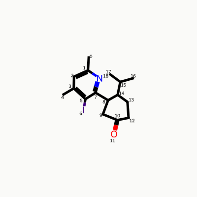 Cc1cc(C)c(I)c(C2CC(=O)CCC2C(C)C)n1